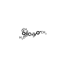 CCc1ccc(-c2csc(N3CCC(S(=O)(=O)c4cc(OC)ccc4OC)CC3)n2)cc1